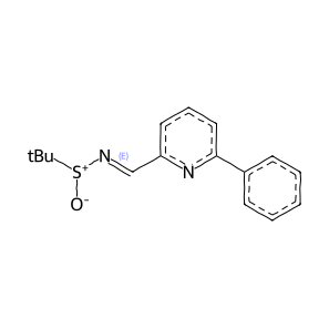 CC(C)(C)[S+]([O-])/N=C/c1cccc(-c2ccccc2)n1